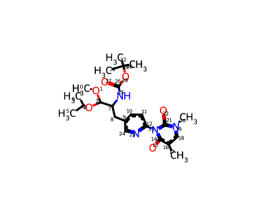 COC(OC(C)C)C(Cc1ccc(-n2c(=O)c(C)cn(C)c2=O)nc1)NC(=O)OC(C)(C)C